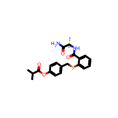 CC(C)C(=O)Oc1ccc(CSc2ccccc2C(=O)N[C@@H](C)C(N)=O)cc1